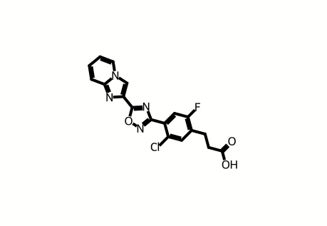 O=C(O)CCc1cc(Cl)c(-c2noc(-c3cn4ccccc4n3)n2)cc1F